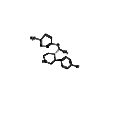 CC(Oc1ccc(C(F)(F)F)cn1)[C@H]1CCNC[C@@H]1c1ccc(Cl)cc1